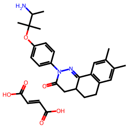 Cc1cc2c(cc1C)C1=NN(c3ccc(OC(C)(C)C(C)N)cc3)C(=O)CC1CC2.O=C(O)C=CC(=O)O